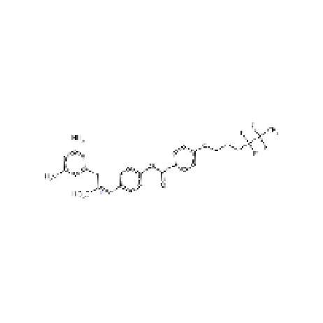 Nc1cc(N)cc(C/C(=C\c2ccc(OC(=O)c3ccc(OCCCC(F)(F)C(F)(F)C(F)(F)F)cc3)cc2)C(=O)O)c1